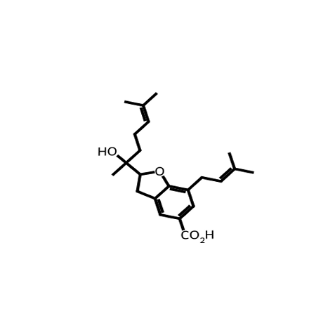 CC(C)=CCCC(C)(O)C1Cc2cc(C(=O)O)cc(CC=C(C)C)c2O1